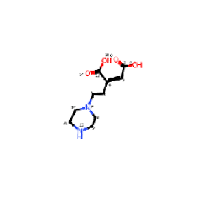 O=C(O)C=C(CCN1CCNCC1)C(=O)O